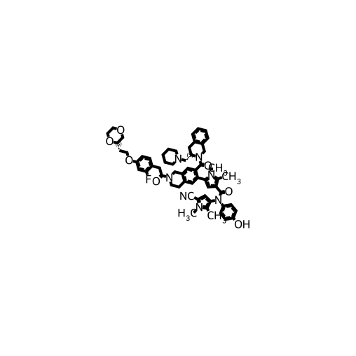 Cc1c(N(C(=O)c2cc(-c3cc4c(cc3C(=O)N3Cc5ccccc5C[C@H]3CN3CCCCC3)CN(C(=O)Cc3ccc(OCC[C@H]5COCCO5)cc3F)CC4)n(C)c2C)c2ccc(O)cc2)cc(C#N)n1C